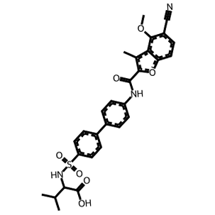 COc1c(C#N)ccc2oc(C(=O)Nc3ccc(-c4ccc(S(=O)(=O)NC(C(=O)O)C(C)C)cc4)cc3)c(C)c12